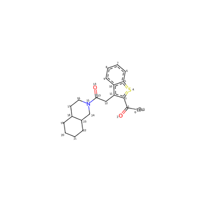 CC(C)(C)C(=O)c1sc2ccccc2c1CC(=O)N1CCC2CCCCC2C1